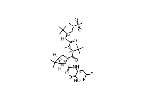 CN(C[C@@H](NC(=O)N[C@H](C(=O)N1C[C@H]2[C@@H]([C@H]1C(=O)N[C@@H](CC(F)F)C(=O)O)C2(C)C)C(C)(C)C)C(C)(C)C)S(C)(=O)=O